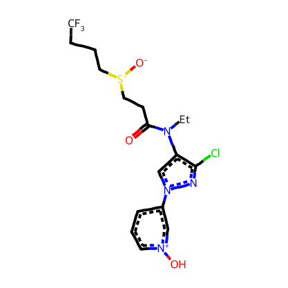 CCN(C(=O)CC[S+]([O-])CCCC(F)(F)F)c1cn(-c2ccc[n+](O)c2)nc1Cl